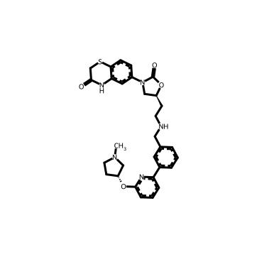 CN1CC[C@@H](Oc2cccc(-c3cccc(CNCC[C@H]4CN(c5ccc6c(c5)NC(=O)CS6)C(=O)O4)c3)n2)C1